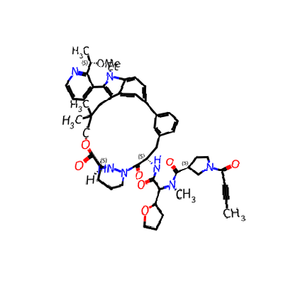 CC#CC(=O)N1CC[C@H](C(=O)N(C)C(C(=O)N[C@H]2Cc3cccc(c3)-c3ccc4c(c3)c(c(-c3cccnc3[C@H](C)OC)n4CC)CC(C)(C)COC(=O)[C@@H]3CCCN(N3)C2=O)C2CCCO2)C1